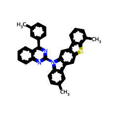 Cc1cccc(-c2nc(-n3c4ccc(C)cc4c4cc5sc6c(C)cccc6c5cc43)nc3ccccc23)c1